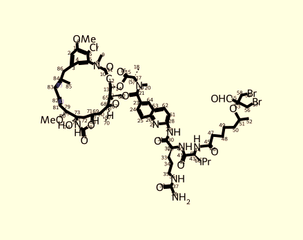 COc1cc2cc(c1Cl)N(C)C(=O)C[C@H](OC(=O)[C@H](C)N(C)C(=O)c1ccc3nc(NC(=O)[C@H](CCCNC(N)=O)NC(=O)[C@@H](NC(=O)CCCCC(C)OC(C=O)(CBr)CBr)C(C)C)ccc3c1)[C@]1(C)O[C@H]1[C@H](C)[C@@H]1C[C@@](O)(NC(=O)O1)[C@H](OC)/C=C/C=C(\C)C2